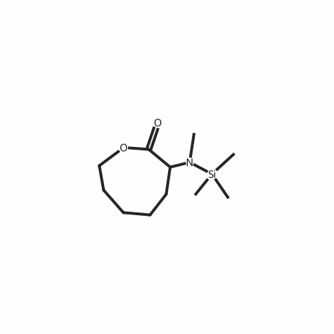 CN(C1CCCCCOC1=O)[Si](C)(C)C